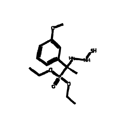 CCOP(=O)(OCC)[C@@](C)(NNS)c1cccc(OC)c1